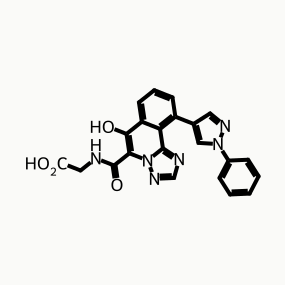 O=C(O)CNC(=O)c1c(O)c2cccc(-c3cnn(-c4ccccc4)c3)c2c2ncnn12